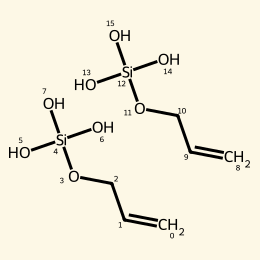 C=CCO[Si](O)(O)O.C=CCO[Si](O)(O)O